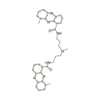 Cc1cccc2nc3cccc(C(=O)NCCCN(C)CCCNC(=O)c4cccc5nc6cccc(C)c6nc45)c3nc12